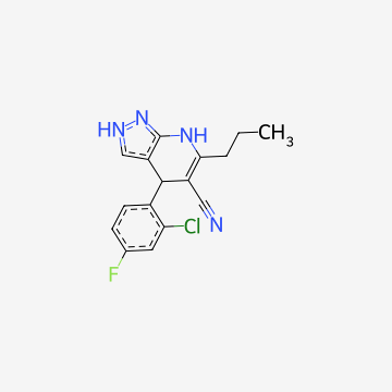 CCCC1=C(C#N)C(c2ccc(F)cc2Cl)c2c[nH]nc2N1